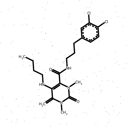 C=C1C(NCCCC)=C(C(=O)NCCCc2ccc(Cl)c(Cl)c2)N(C)C(=O)N1C